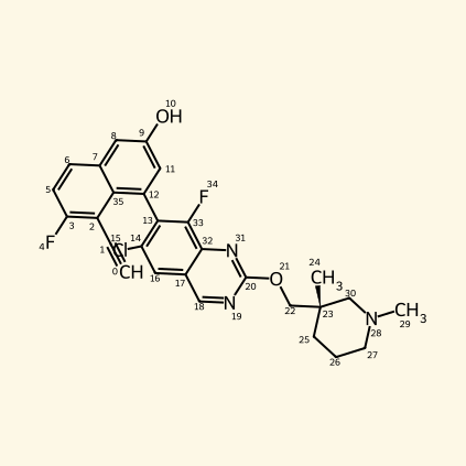 C#Cc1c(F)ccc2cc(O)cc(-c3c(Cl)cc4cnc(OC[C@@]5(C)CCCN(C)C5)nc4c3F)c12